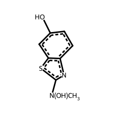 CN(O)c1nc2ccc(O)cc2s1